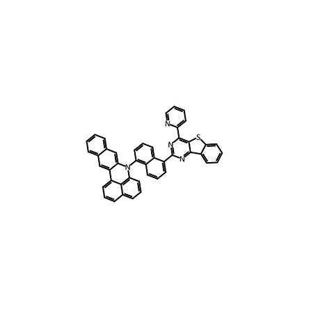 c1ccc(-c2nc(-c3cccc4c(N5c6cc7ccccc7cc6-c6cccc7cccc5c67)cccc34)nc3c2sc2ccccc23)nc1